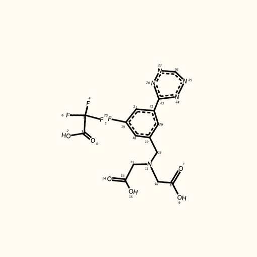 O=C(O)C(F)(F)F.O=C(O)CN(CC(=O)O)Cc1cc(F)cc(-c2nncnn2)c1